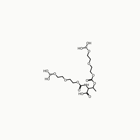 CC(OC(=O)OCCOCCON(O)O)C(NC(=O)OCCOCCON(O)O)C(=O)O